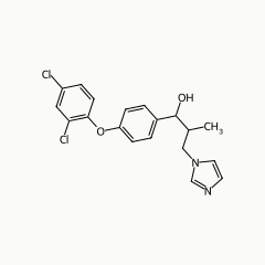 CC(Cn1ccnc1)C(O)c1ccc(Oc2ccc(Cl)cc2Cl)cc1